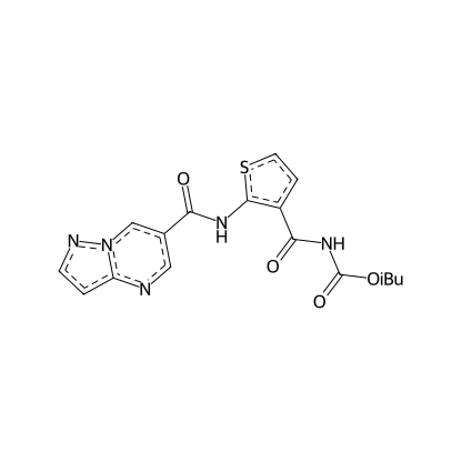 CC(C)COC(=O)NC(=O)c1ccsc1NC(=O)c1cnc2ccnn2c1